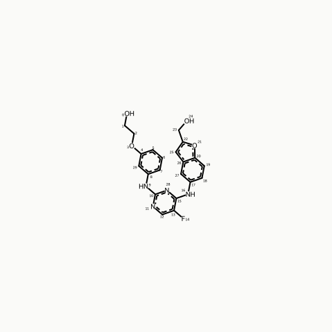 OCCOc1cccc(Nc2ncc(F)c(Nc3ccc4oc(CO)cc4c3)n2)c1